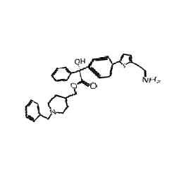 NCc1ccc(-c2ccc([C@@](O)(C(=O)OCC3CCN(Cc4ccccc4)CC3)c3ccccc3)cc2)s1